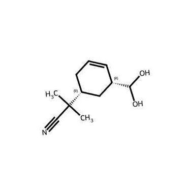 CC(C)(C#N)[C@@H]1CC=C[C@H](C(O)O)C1